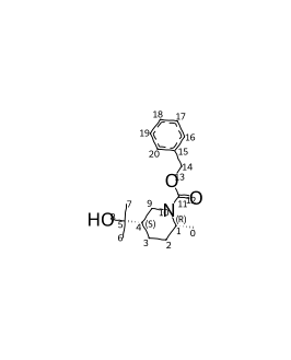 C[C@@H]1CC[C@H](C(C)(C)O)CN1C(=O)OCc1ccccc1